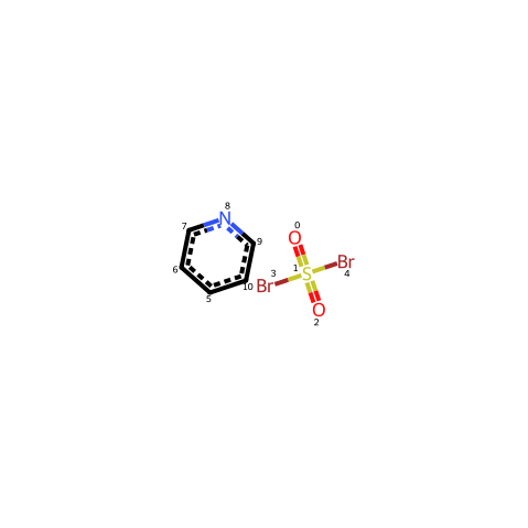 O=S(=O)(Br)Br.c1ccncc1